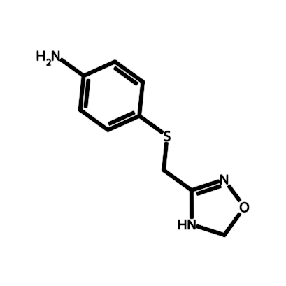 Nc1ccc(SCC2=NOCN2)cc1